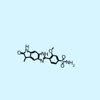 COc1cc(S(N)(=O)=O)ccc1-c1nc2cc3c(cc2[nH]1)NC(=O)C3C